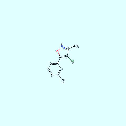 Cc1noc(-c2cccc(C#N)c2)c1Cl